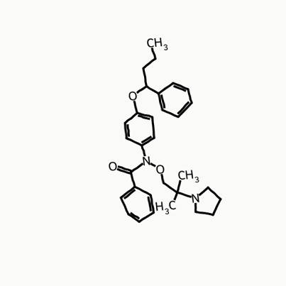 CCCC(Oc1ccc(N(OCC(C)(C)N2CCCC2)C(=O)c2ccccc2)cc1)c1ccccc1